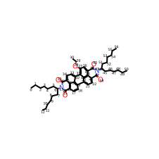 CCCCCCC(CCCCCC)N1C(=O)c2ccc3c4ccc5c6c(cc(OCC)c(c7ccc(c2c37)C1=O)c64)C(=O)N(C(CCCCCC)CCCCCC)C5=O